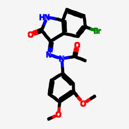 COc1ccc(N(N=C2C(=O)Nc3ccc(Br)cc32)C(C)=O)cc1OC